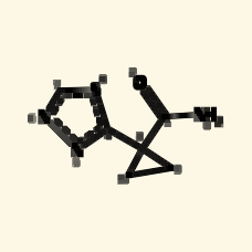 NC(=O)C1(c2nncs2)CC1